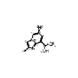 [2H]c1cc(C(O)C(F)(F)F)c2nc(C)cn2c1